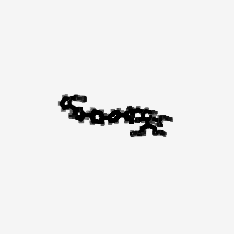 COCC(COC)C(NS(=O)OC)C(=O)N(Cc1nc(-c2ccc(-c3ccc(-c4c[nH]c(C5CCCN5C=O)n4)cc3)cc2)c[nH]1)CC(C)C